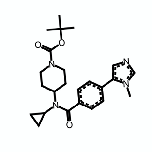 Cn1cncc1-c1ccc(C(=O)N(C2CC2)C2CCN(C(=O)OC(C)(C)C)CC2)cc1